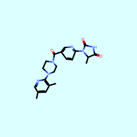 Cc1cnc(N2CCN(C(=O)c3ccc(N4C(=O)NC(=O)C4C)nc3)CC2)c(C)c1